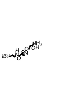 CCC(C)CCCNC(=O)c1cnc(OCCC(N)O)s1